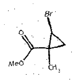 COC(=O)C1(C)CC1Br